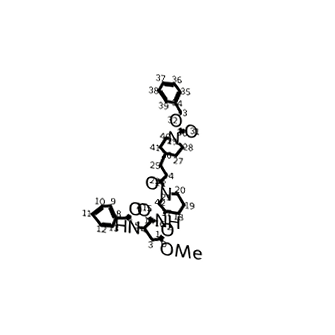 COC(=O)CC(NC(=O)c1ccccc1)C(=O)NC1CCCN(C(=O)CCC2CCN(C(=O)OCc3ccccc3)CC2)C1